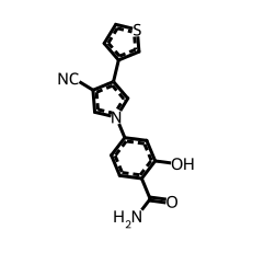 N#Cc1cn(-c2ccc(C(N)=O)c(O)c2)cc1-c1ccsc1